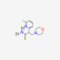 CCN(CC)C(=S)C(CN1CCOCC1)c1cccc(C)n1